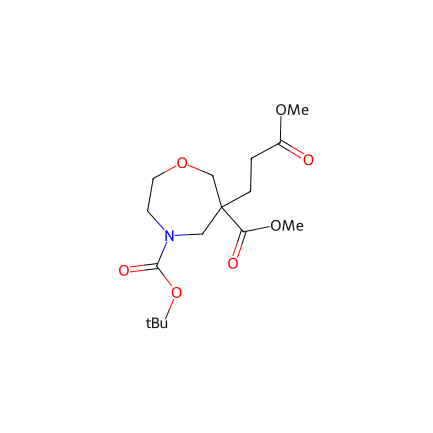 COC(=O)CCC1(C(=O)OC)COCCN(C(=O)OC(C)(C)C)C1